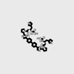 O=C(O)N[C@H](CC(=O)N1CCCC1c1ncc(-c2ccc(-c3ccc(-c4cnc(C5CCCN5C(=O)C[C@H](Cc5ccsc5)NC(=O)O)[nH]4)cc3)cc2)[nH]1)Cc1ccsc1